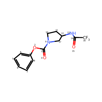 O=C(Oc1ccccc1)N1CCC(NC(=O)C(F)(F)F)C1